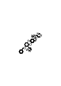 Cn1nccc1[C@@H]1[C@@H](Oc2cc(F)c(S(=O)(=O)Nc3ccncn3)cc2F)CCC[C@H]1OCc1ccccc1